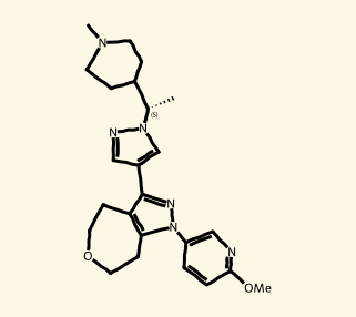 COc1ccc(-n2nc(-c3cnn([C@@H](C)C4CCN(C)CC4)c3)c3c2CCOCC3)cn1